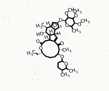 CC[C@H]1CCC[C@H](OC2CC[C@H](C)C(C)O2)[C@@H](C)C(=O)C2=C[C@@H]3[C@@H]([C@H](O)[C@@H](C)[C@@H]4C[C@@H](O[C@@H]5OC(C)[C@H](OC)C(OC)C5OC)C[C@@]34C)[C@@H]2CC(=O)O1